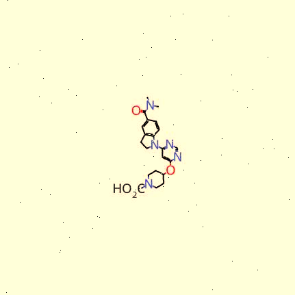 CN(C)C(=O)c1ccc2c(c1)CCN2c1cc(OC2CCN(C(=O)O)CC2)ncn1